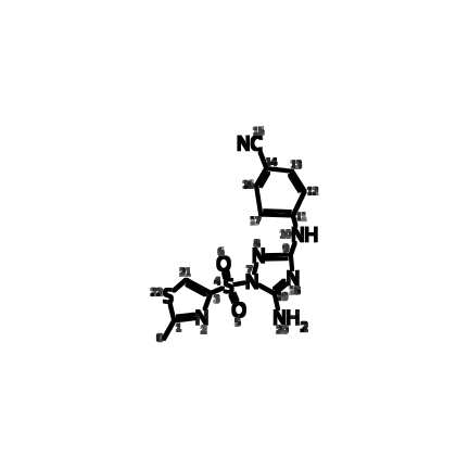 Cc1nc(S(=O)(=O)n2nc(Nc3ccc(C#N)cc3)nc2N)cs1